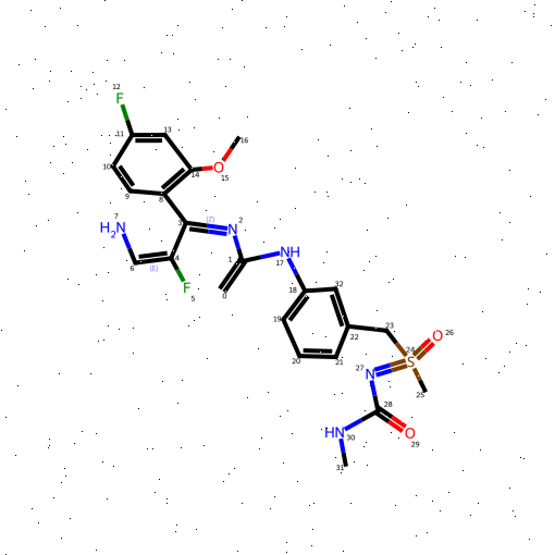 C=C(/N=C(\C(F)=C/N)c1ccc(F)cc1OC)Nc1cccc(CS(C)(=O)=NC(=O)NC)c1